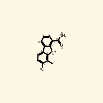 Cc1c(Cl)ccc2c1[nH]c1c(C(N)=O)cccc12